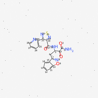 NC(=O)C(=O)C(Cc1noc2ccccc12)NC(=O)c1nsnc1-c1ccccn1